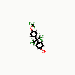 Oc1ccc(C(c2ccc(OC(F)(F)F)cc2)(C(F)(F)F)C(F)(F)F)cc1